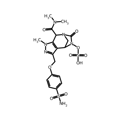 CN(C)C(=O)C1c2c(c(COc3ccc(S(N)(=O)=O)cc3)nn2C)C2CN1C(=O)N2OS(=O)(=O)O